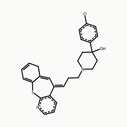 OC1(c2ccc(Cl)cc2)CCN(CCC=C2C=C3CC=CC=C3Sc3ncccc32)CC1